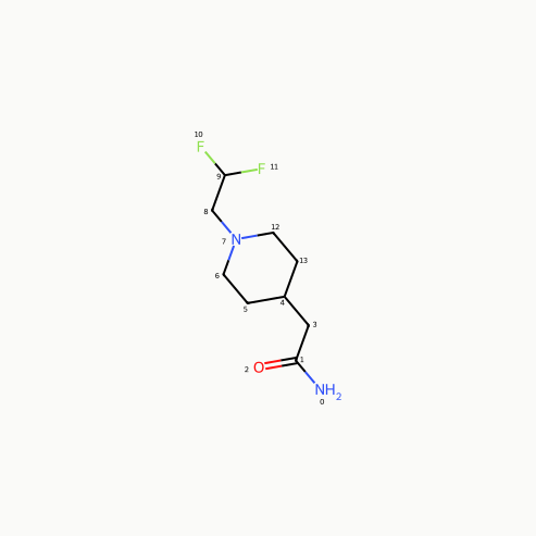 NC(=O)CC1CCN(CC(F)F)CC1